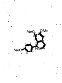 COc1ccc(C2NC=Cc3cc(OC)c(OC)cc32)cc1